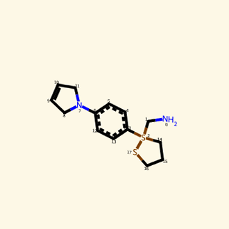 NCS1(c2ccc(N3CC=CC3)cc2)CCCS1